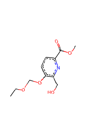 CCOCOc1ccc(C(=O)OC)nc1CO